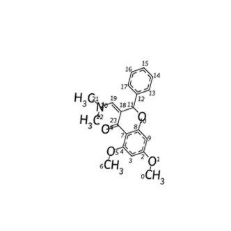 COc1cc(OC)c2c(c1)OC(c1ccccc1)C(=CN(C)C)C2=O